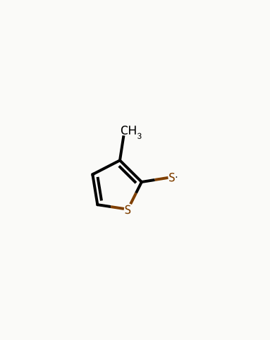 Cc1ccsc1[S]